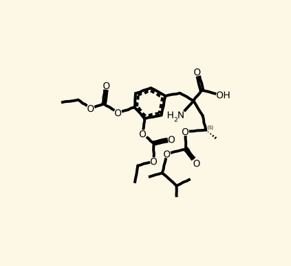 CCOC(=O)Oc1ccc(CC(N)(C[C@H](C)OC(=O)OC(C)C(C)C)C(=O)O)cc1OC(=O)OCC